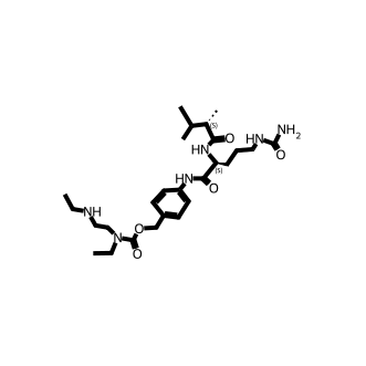 CCNCCN(CC)C(=O)OCc1ccc(NC(=O)[C@H](CCCNC(N)=O)NC(=O)[C@@H](C)C(C)C)cc1